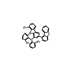 CC(C)c1ccccc1N1c2cc(-c3cccc4sc5ccccc5c34)cc3c2B(c2cccc(C(C)C)c21)c1c-3cccc1C(C)C